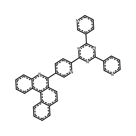 c1cncc(-c2nc(-c3cccnc3)nc(-c3ccc(-c4nc5ccccc5c5c4ccc4ccccc45)cn3)n2)c1